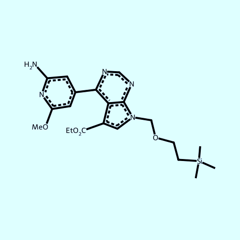 CCOC(=O)c1cn(COCC[Si](C)(C)C)c2ncnc(-c3cc(N)nc(OC)c3)c12